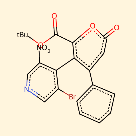 CC(C)(C)OC(=O)c1oc(=O)cc(-c2ccccc2)c1-c1c(Br)cncc1[N+](=O)[O-]